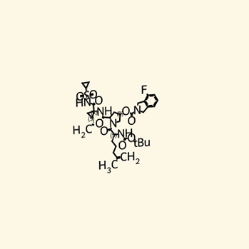 C=C[C@@H]1C[C@]1(NC(=O)C1C[C@@H](OC(=O)N2Cc3cccc(F)c3C2)CN1C(=O)[C@H](CCCC(=C)C)NC(=O)OC(C)(C)C)C(=O)NS(=O)(=O)C1CC1